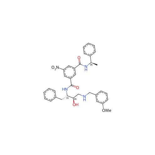 COc1cccc(CNC[C@@H](O)[C@H](Cc2ccccc2)NC(=O)c2cc(C(=O)N[C@H](C)c3ccccc3)cc([N+](=O)[O-])c2)c1